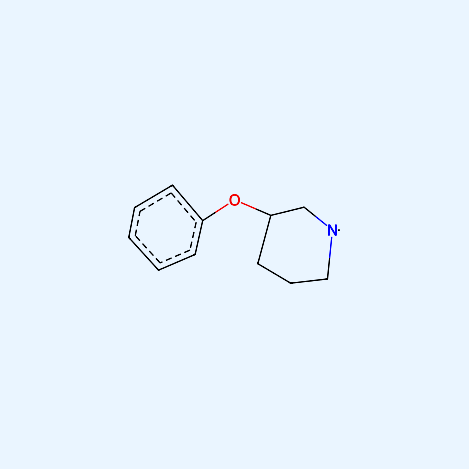 c1ccc(OC2CCC[N]C2)cc1